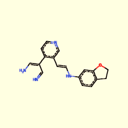 N=C/C(=C\N)c1ccncc1/C=C/Nc1ccc2c(c1)OCC2